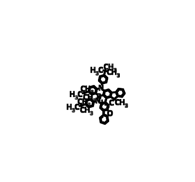 CC(C)(C)c1ccc(N2B3c4cc(C(C)(C)C)ccc4N(c4ccc(C(C)(C)C)cc4)c4cc5c(c(c43)-c3cc4oc6ccccc6c4cc32)C(C)(C)c2ccccc2-5)cc1